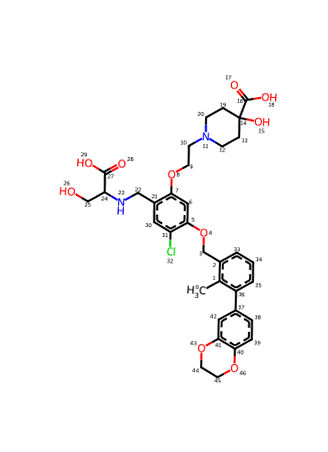 Cc1c(COc2cc(OCCN3CCC(O)(C(=O)O)CC3)c(CNC(CO)C(=O)O)cc2Cl)cccc1-c1ccc2c(c1)OCCO2